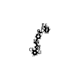 O=C(COc1nccnc1C(F)(F)F)N1CCC(c2nc(C3=NOC(c4c(Cl)cccc4Cl)C3)cs2)CC1